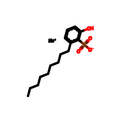 CCCCCCCCCc1cccc(O)c1S(=O)(=O)[O-].[Na+]